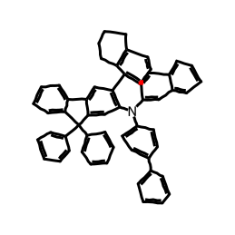 c1ccc(-c2ccc(N(c3ccc4ccccc4c3)c3cc4c(cc3-c3cccc5c3CCCC5)-c3ccccc3C4(c3ccccc3)c3ccccc3)cc2)cc1